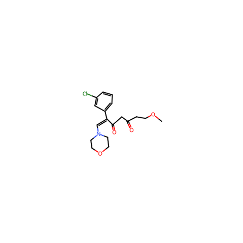 COCCC(=O)CC(=O)C(=CN1CCOCC1)c1cccc(Cl)c1